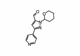 O=Cc1cc(-c2ccncc2)nn1C1CCCCO1